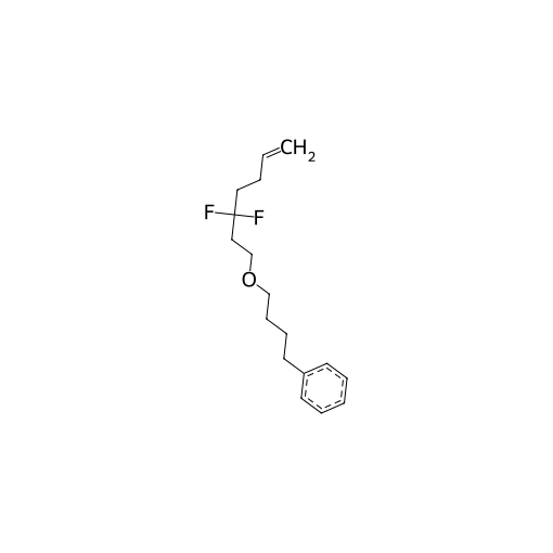 C=CCCC(F)(F)CCOCCCCc1ccccc1